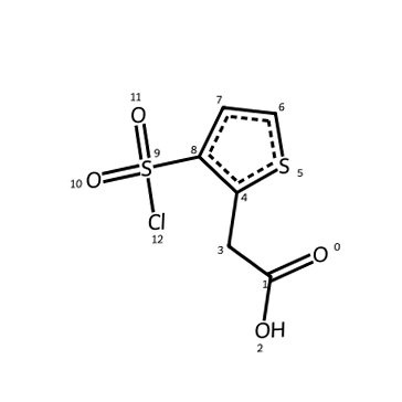 O=C(O)Cc1sccc1S(=O)(=O)Cl